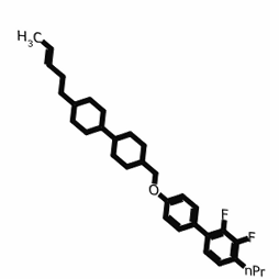 C/C=C/CCC1CCC(C2CCC(COc3ccc(-c4ccc(CCC)c(F)c4F)cc3)CC2)CC1